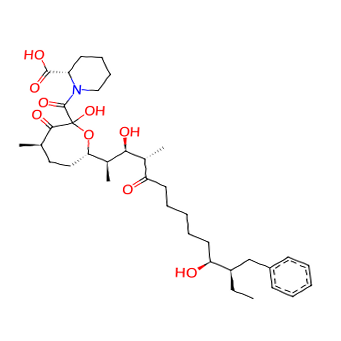 CC[C@H](Cc1ccccc1)[C@@H](O)CCCCCC(=O)[C@@H](C)[C@H](O)[C@@H](C)[C@@H]1CC[C@@H](C)C(=O)C(O)(C(=O)N2CCCC[C@H]2C(=O)O)O1